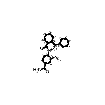 NC(=O)c1ccc(-n2nc(-c3ccccc3)c3ccccc3c2=O)c(N=O)c1